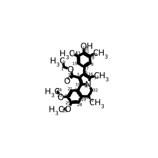 CCOC(=O)c1c(-c2cc(C)c(O)c(C)c2)c(C)n2c1-c1cc(OC)c(OC)cc1[C@H](C)C2